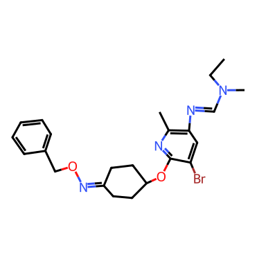 CCN(C)/C=N/c1cc(Br)c(OC2CCC(=NOCc3ccccc3)CC2)nc1C